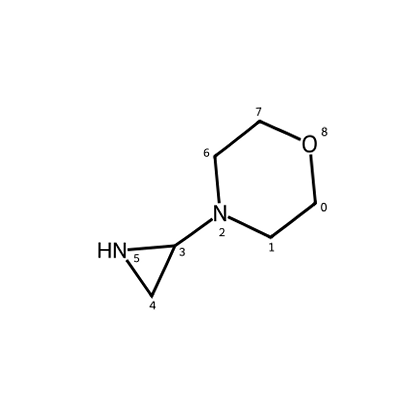 C1CN(C2CN2)CCO1